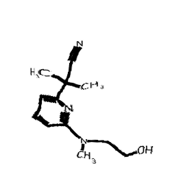 CN(CCO)c1cccc(C(C)(C)C#N)n1